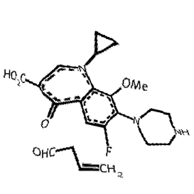 C=CCC=O.COc1c(N2CCNCC2)c(F)cc2c(=O)c(C(=O)O)cn(C3CC3)c12